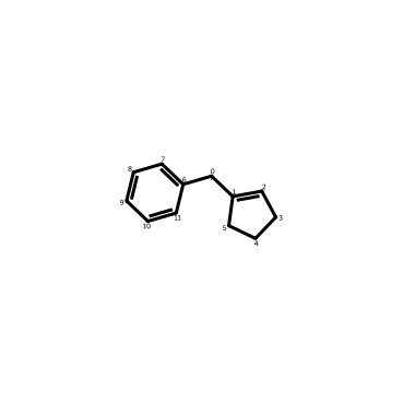 [CH](C1=CCCC1)c1ccccc1